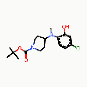 CN(c1ccc(Cl)cc1O)C1CCN(C(=O)OC(C)(C)C)CC1